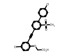 CS(=O)(=O)c1cc(C#Cc2cc(Cl)ccc2OCC(=O)O)ccc1-c1ccc(Cl)cc1